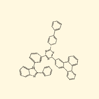 c1ccc(-c2ccc(-c3nc(-c4cccc(-n5c(-c6ccccc6)nc6ccccc65)c4)nc(-c4ccc5c6ccccc6c6ccccc6c5c4)n3)cc2)cc1